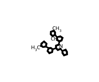 Cc1cccc(-c2cccc(-c3cc(-c4ccccc4)nc(-c4cccc(-c5cc(C)ccc5C)c4)c3)c2)c1